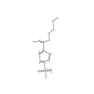 C/C=C(/CCCCC)c1ccc(S(C)(=O)=O)cn1